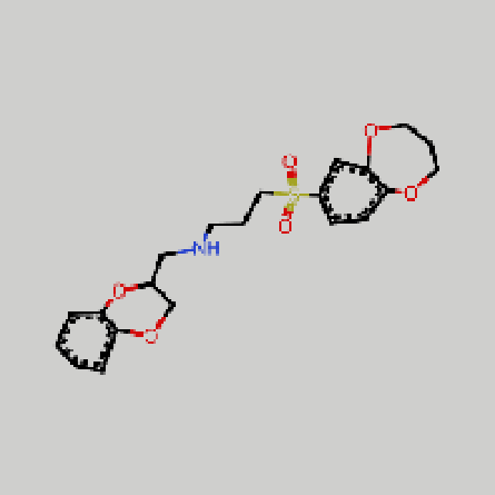 O=S(=O)(CCCNCC1COc2ccccc2O1)c1ccc2c(c1)OCCCO2